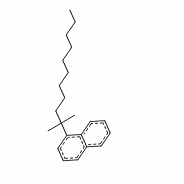 CCCCCCCCCC(C)(C)c1cccc2ccccc12